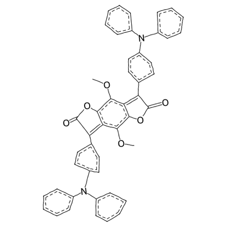 COc1c2c(c(OC)c3c1=C(c1ccc(N(c4ccccc4)c4ccccc4)cc1)C(=O)O3)=C(c1ccc(N(c3ccccc3)c3ccccc3)cc1)C(=O)O2